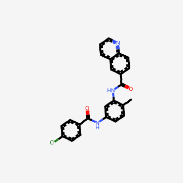 Cc1ccc(NC(=O)c2ccc(Cl)cc2)cc1NC(=O)c1ccc2ncccc2c1